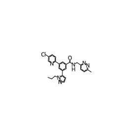 CCCn1nccc1-c1cc(C(=O)NCc2ccc(C)nn2)cc(-c2ccc(Cl)cn2)c1